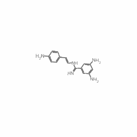 N=C(NC=Cc1ccc(N)cc1)c1cc(N)cc(N)c1